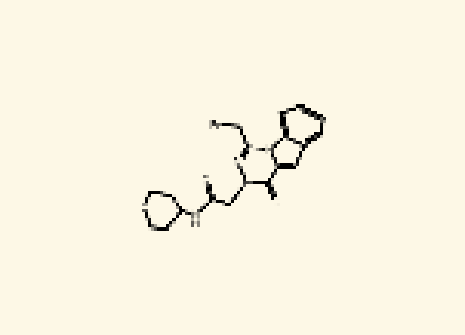 CC(C)Cc1nn(CC(=O)NC2CCOCC2)c(=O)c2cc3ccccc3n12